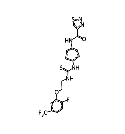 O=C(Nc1ccc(NC(=S)NCCOc2cc(C(F)(F)F)ccc2F)cc1)c1csnn1